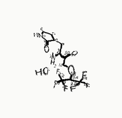 Cl.N[C@@H](C[C@@H]1CCNC1=O)C(=O)COC(C(F)(F)F)C(F)(F)F